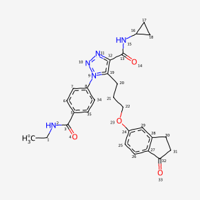 CCNC(=O)c1ccc(-n2nnc(C(=O)NC3CC3)c2CCCOc2ccc3c(c2)CCC3=O)cc1